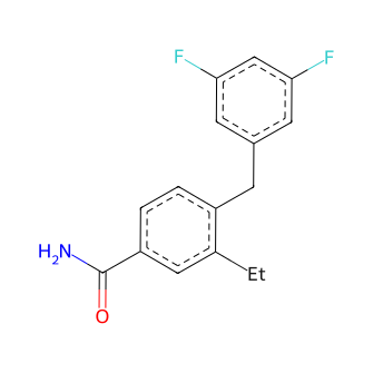 CCc1cc(C(N)=O)ccc1Cc1cc(F)cc(F)c1